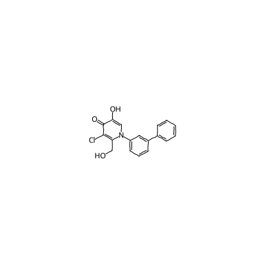 O=c1c(O)cn(-c2cccc(-c3ccccc3)c2)c(CO)c1Cl